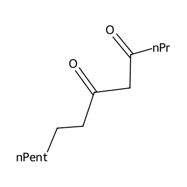 CCCCCCCC(=O)CC(=O)CCC